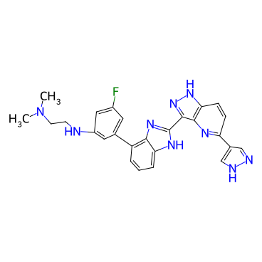 CN(C)CCNc1cc(F)cc(-c2cccc3[nH]c(-c4n[nH]c5ccc(-c6cn[nH]c6)nc45)nc23)c1